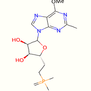 C=P(C)(C)CC[C@H]1OC(n2cnc3c(OC)nc(C)nc32)[C@H](O)[C@@H]1O